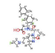 Cc1cc(C)c(-c2cc(C)c(F)c([C@H](CC(=O)O)NC(=O)[C@H](CC(C)C)n3cc(CCN4CC(F)C4)c(C(C)C)nc3=O)c2F)c(C)c1